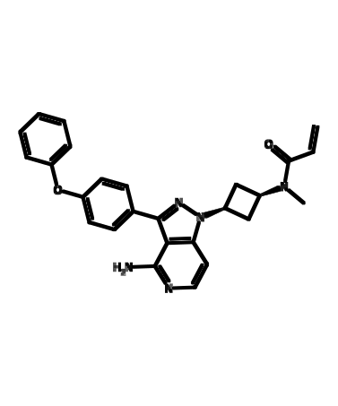 C=CC(=O)N(C)[C@H]1C[C@@H](n2nc(-c3ccc(Oc4ccccc4)cc3)c3c(N)nccc32)C1